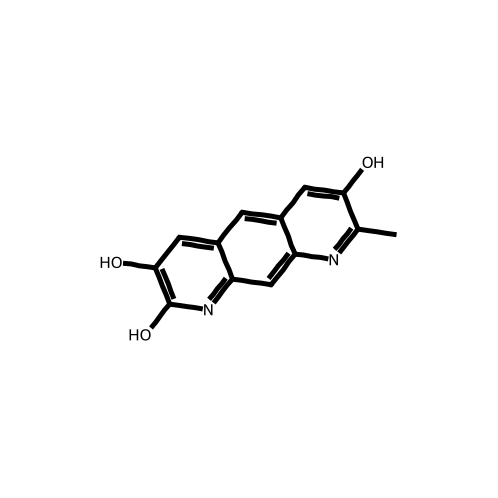 Cc1nc2cc3nc(O)c(O)cc3cc2cc1O